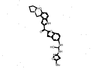 CC(C)(C)c1cc(NC(O)Nc2ccc3oc(C(=O)c4cc5c(CN6CCCC6)c(O)ccc5[nH]4)cc3c2)no1